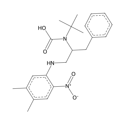 Cc1cc(NCC(Cc2ccccc2)N(C(=O)O)C(C)(C)C)c([N+](=O)[O-])cc1C